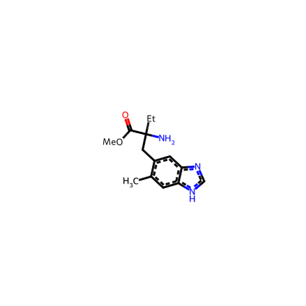 CCC(N)(Cc1cc2nc[nH]c2cc1C)C(=O)OC